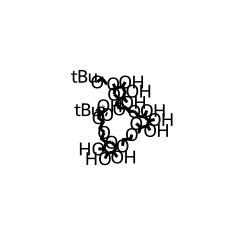 CC(C)(C)OCCOC1OC(COCCOC2OC(COCCOC3OC(COCCOP(=O)(O)C(C)(C)C)C(O)C(O)C3O)C(O)C(O)C2O)C(O)C(O)C1O